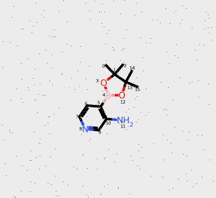 CC1(C)OB(c2ccncc2N)OC1(C)C